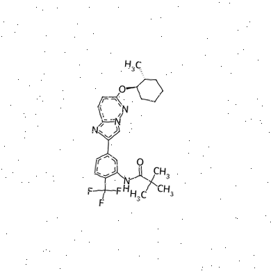 C[C@@H]1CCCC[C@H]1Oc1ccc2nc(-c3ccc(C(F)(F)F)c(NC(=O)C(C)(C)C)c3)cn2n1